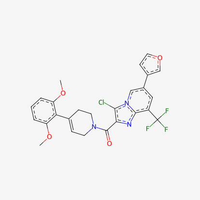 COc1cccc(OC)c1C1=CCN(C(=O)c2nc3c(C(F)(F)F)cc(-c4ccoc4)cn3c2Cl)CC1